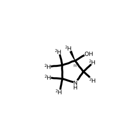 [2H]C1([2H])NC([2H])([2H])[C@@]([2H])(O)C1([2H])[2H]